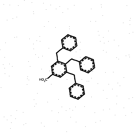 O=C(O)c1cc(Cc2ccccc2)c(Cc2ccccc2)c(Cc2ccccc2)c1